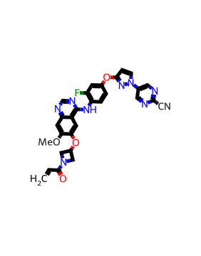 C=CC(=O)N1CC(Oc2cc3c(Nc4ccc(Oc5ccn(-c6cnc(C#N)nc6)n5)cc4F)ncnc3cc2OC)C1